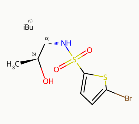 CC[C@H](C)[C@H](NS(=O)(=O)c1ccc(Br)s1)[C@H](C)O